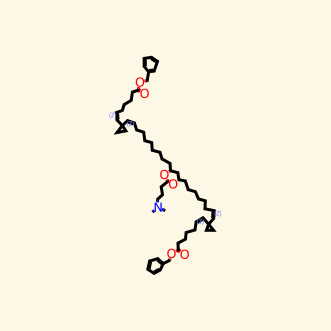 CN(C)CCCC(=O)OC(CCCCCCCC/C=C\C1(/C=C\CCCCC(=O)OCc2ccccc2)CC1)CCCCCCCC/C=C\C1(/C=C\CCCCC(=O)OCc2ccccc2)CC1